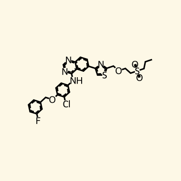 CCCS(=O)(=O)CCOCc1nc(-c2ccc3ncnc(Nc4ccc(OCc5cccc(F)c5)c(Cl)c4)c3c2)cs1